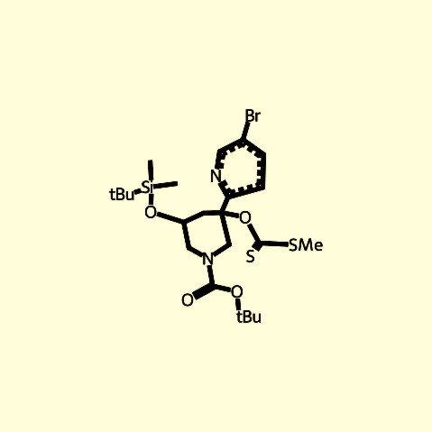 CSC(=S)OC1(c2ccc(Br)cn2)CC(O[Si](C)(C)C(C)(C)C)CN(C(=O)OC(C)(C)C)C1